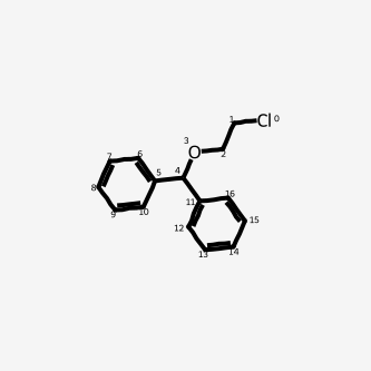 ClCCOC(c1ccccc1)c1ccccc1